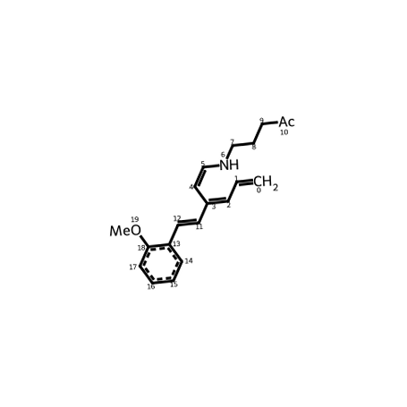 C=C/C=C(\C=C/NCCCC(C)=O)/C=C/c1ccccc1OC